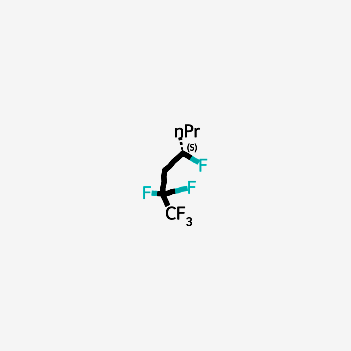 [CH2]CC[C@H](F)CC(F)(F)C(F)(F)F